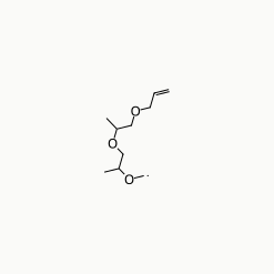 [CH2]OC(C)COC(C)COCC=C